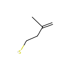 C=C(C)CC[S]